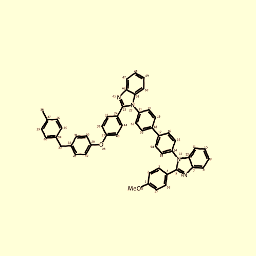 COc1ccc(-c2nc3ccccc3n2-c2ccc(-c3ccc(-n4c(-c5ccc(Oc6ccc(Cc7ccc(C)cc7)cc6)cc5)nc5ccccc54)cc3)cc2)cc1